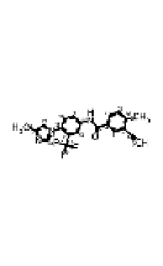 C#Cc1cc(C(=O)Nc2ccc(-n3cnc(C)c3)c(C(F)(F)F)c2)ccc1C